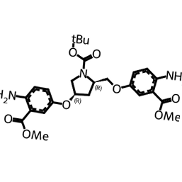 COC(=O)c1cc(OC[C@H]2C[C@@H](Oc3ccc(N)c(C(=O)OC)c3)CN2C(=O)OC(C)(C)C)ccc1N